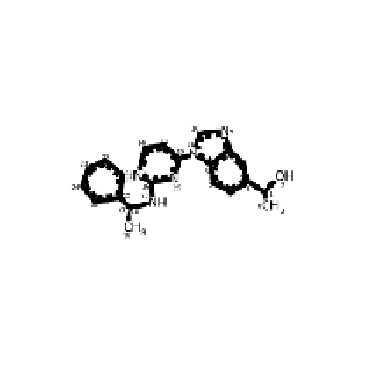 CC(O)c1ccc2c(c1)ncn2-c1ccnc(N[C@@H](C)c2ccccc2)n1